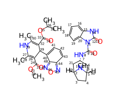 CN1[C@@H]2CC[C@H]1C[C@@H](NC(=O)n1c(=O)[nH]c3ccccc31)C2.COC(=O)C1=C(C)NC(C)=C(C(=O)OC(C)C)C1c1cccc2nonc12